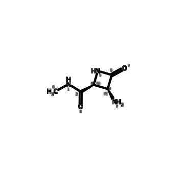 CNC(=O)[C@H]1NC(=O)[C@H]1N